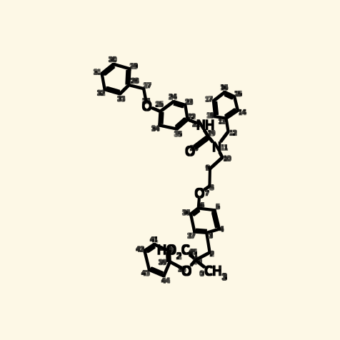 C[C@@](Cc1ccc(OCCCN(Cc2ccccc2)C(=O)Nc2ccc(OCc3ccccc3)cc2)cc1)(Oc1ccccc1)C(=O)O